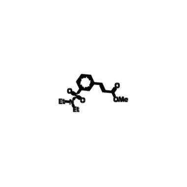 CCN(CC)S(=O)(=O)c1cccc(C=CC(=O)OC)c1